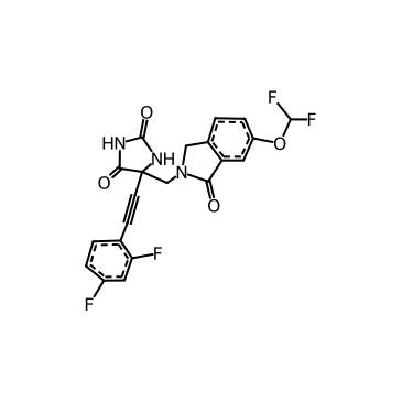 O=C1NC(=O)C(C#Cc2ccc(F)cc2F)(CN2Cc3ccc(OC(F)F)cc3C2=O)N1